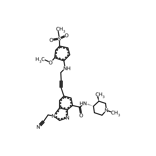 COc1cc(S(C)(=O)=O)ccc1NCC#Cc1cc(C(=O)N[C@H]2CCN(C)C[C@@H]2C)c2ncn(CC#N)c2c1